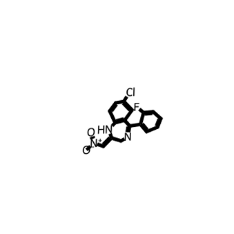 O=[N+]([O-])C=C1CN=C(c2ccccc2F)c2cc(Cl)ccc2N1